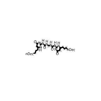 CCCCCCCCCCCCCc1cc(=O)nc(NC(=O)NCNC(=O)Nc2nc(=O)cc(CCCCCCCCCCCCC)[nH]2)[nH]1